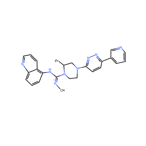 CC(C)C1CN(c2ccc(-c3cccnc3)nn2)CCN1/C(=N\C#N)Nc1cccc2ncccc12